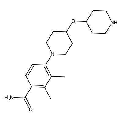 Cc1c(C(N)=O)ccc(N2CCC(OC3CCNCC3)CC2)c1C